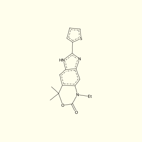 CCN1C(=O)OC(C)(C)c2cc3[nH]c(-c4cccs4)nc3cc21